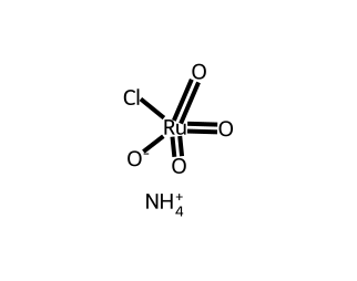 [NH4+].[O]=[Ru](=[O])(=[O])([O-])[Cl]